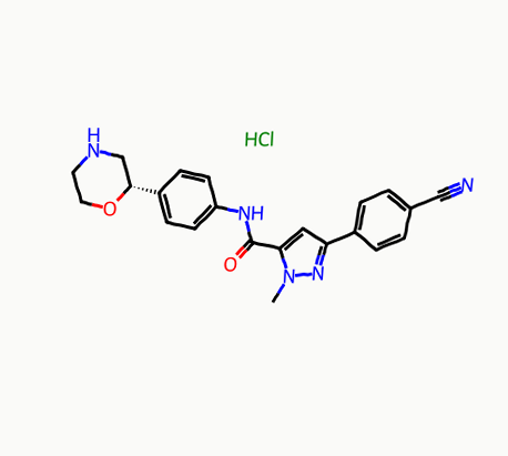 Cl.Cn1nc(-c2ccc(C#N)cc2)cc1C(=O)Nc1ccc([C@H]2CNCCO2)cc1